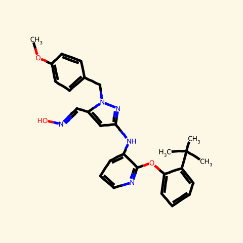 COc1ccc(Cn2nc(Nc3cccnc3Oc3ccccc3C(C)(C)C)cc2C=NO)cc1